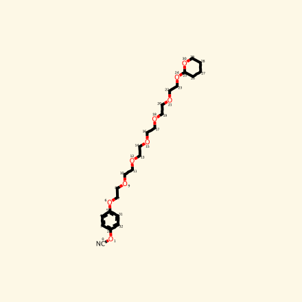 N#COc1ccc(OCCOCCOCCOCCOCCOCCOC2CCCCO2)cc1